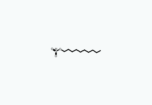 CCCCCCCCCCO[SH](=O)=O